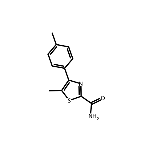 Cc1ccc(-c2nc(C(N)=O)sc2C)cc1